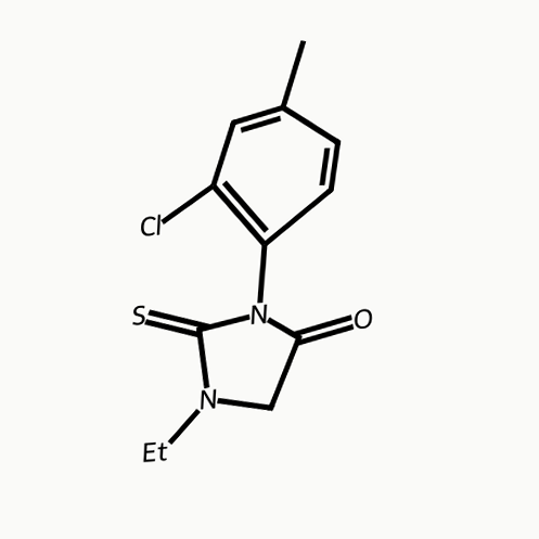 CCN1CC(=O)N(c2ccc(C)cc2Cl)C1=S